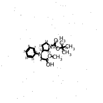 COC(O)CN(c1ccccc1)C1CCN(C(=O)OC(C)(C)C)C1